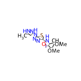 COc1cc(OC)c(I)c(NC(=O)c2csc3c(Nc4cc(C)[nH]n4)ncnc23)c1C